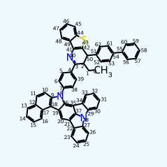 CCC1C(c2ccc(-n3c4ccc5ccccc5c4c4cc5c6ccccc6n6c7ccccc7c(c43)c56)cc2)=Nc2c(sc3ccccc23)C1c1ccc(-c2ccccc2)cc1